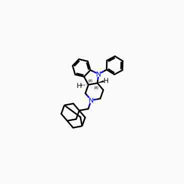 c1ccc(N2c3ccccc3[C@@H]3CN(CC45CC6CC(CC(C6)C4)C5)CC[C@H]32)cc1